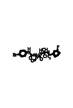 CC(C)(CCc1cccc(F)c1)NC(=O)N(C=O)NC(=O)Nc1ccc(Br)cc1